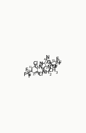 CN(c1c(C#N)nn(-c2c(Cl)cc(C(F)(F)F)cc2Cl)c1N)S(=O)(=O)CC(F)(F)F